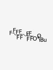 CCC(C)C(=O)OCC(F)(F)C(F)(F)CCC(F)(F)C(F)(F)CC(F)F